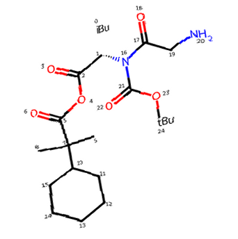 CC[C@H](C)[C@@H](C(=O)OC(=O)C(C)(C)C1CCCCC1)N(C(=O)CN)C(=O)OC(C)(C)C